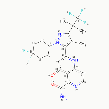 Cc1c(C(C)(C)C(F)(F)F)nn(C2CCC(F)(F)CC2)c1-c1cc(=O)c2c(C(N)=O)nccc2[nH]1